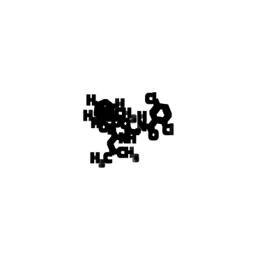 CC(C)CC(NC(=O)CNC(=O)c1cc(Cl)ccc1Cl)B1O[C@@H]2C[C@@H]3C[C@@H](C3(C)C)[C@]2(C)O1